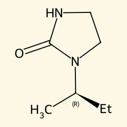 CC[C@@H](C)N1CCNC1=O